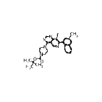 Cc1cc(-c2ncc3c(N4CCN(C(=O)OC(C)(C)C)CC4)ncnc3c2F)c2ccccc2c1